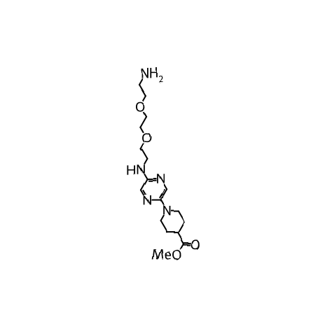 COC(=O)C1CCN(c2cnc(NCCOCCOCCN)cn2)CC1